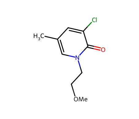 COCCn1cc(C)cc(Cl)c1=O